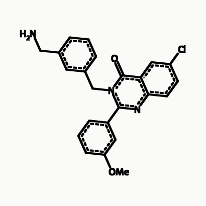 COc1cccc(-c2nc3ccc(Cl)cc3c(=O)n2Cc2cccc(CN)c2)c1